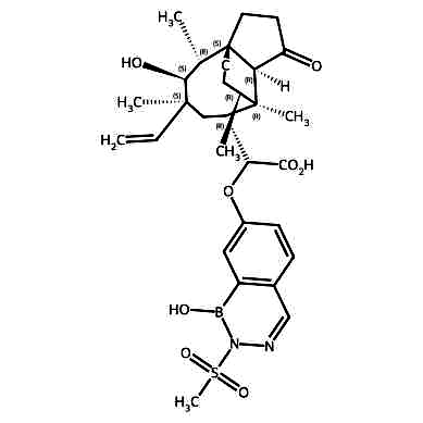 C=C[C@]1(C)C[C@@H](C(Oc2ccc3c(c2)B(O)N(S(C)(=O)=O)N=C3)C(=O)O)[C@@]2(C)[C@H](C)CC[C@]3(CCC(=O)[C@H]32)[C@@H](C)[C@@H]1O